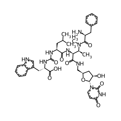 CC(C)C[C@H](NC(=O)N[C@@H](Cc1c[nH]c2ccccc12)C(=O)O)C(=O)N[C@H](C(=O)NC[C@H]1C[C@@H](O)[C@H](n2ccc(=O)[nH]c2=O)O1)[C@H](C)N(C)C(=O)[C@@H](N)Cc1ccccc1